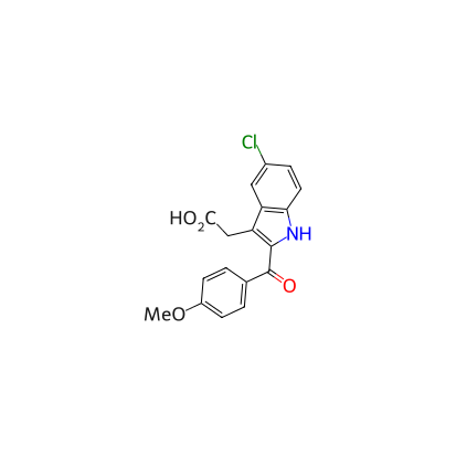 COc1ccc(C(=O)c2[nH]c3ccc(Cl)cc3c2CC(=O)O)cc1